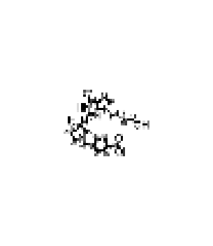 Nc1nc2c(ncn2COCCO)c(=O)[nH]1.O=C(O)c1ccc(CN2CCOCC2)cc1